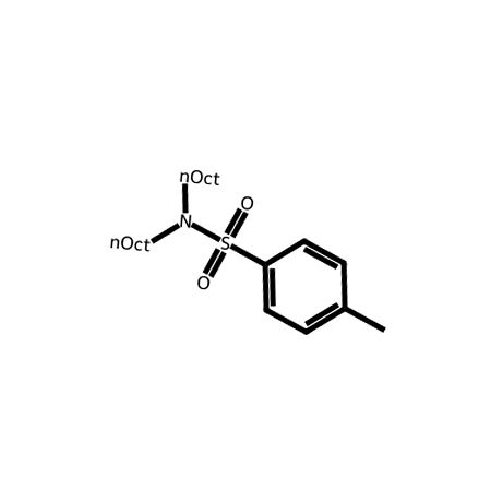 CCCCCCCCN(CCCCCCCC)S(=O)(=O)c1ccc(C)cc1